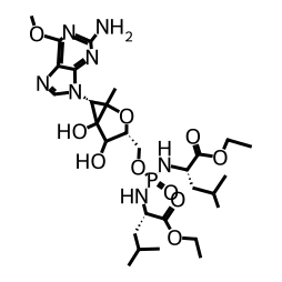 CCOC(=O)[C@H](CC(C)C)NP(=O)(N[C@@H](CC(C)C)C(=O)OCC)OC[C@H]1OC2(C)[C@@H](n3cnc4c(OC)nc(N)nc43)C2(O)C1O